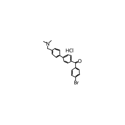 CN(C)Cc1ccc(-c2ccc(C(=O)c3ccc(Br)cc3)cc2)cc1.Cl